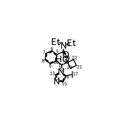 CCN(CC)C(=O)c1ccccc1C(n1cncc1I)C1(O)CCC1